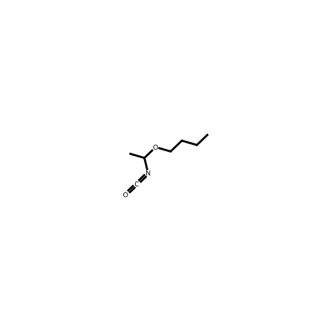 CCCCOC(C)N=C=O